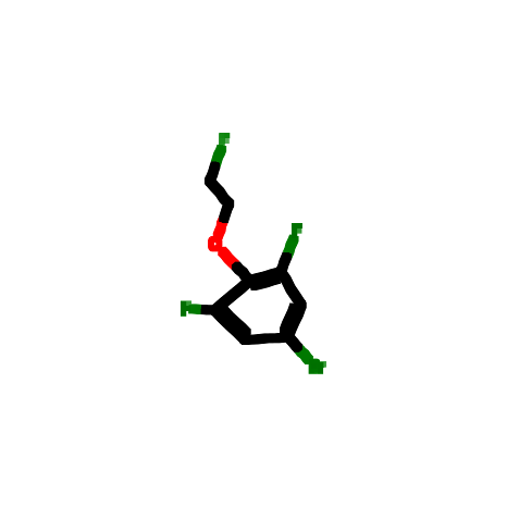 FCCOc1c(F)cc(Br)cc1F